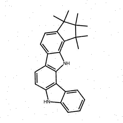 CC1(C)c2ccc3c([nH]c4c3ccc3[nH]c5ccccc5c34)c2C(C)(C)C1(C)C